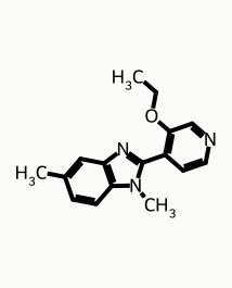 CCOc1cnccc1-c1nc2cc(C)ccc2n1C